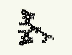 COc1cc2c(cc1OCc1cc(COc3cc4c(cc3OC)C(=O)N3c5ccccc5C[C@H]3C(O)N4)cc(NC(=O)CCCSSC(C)CCC(C)=O)c1)NC(O)[C@@H]1Cc3ccccc3N1C2=O